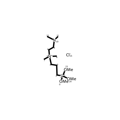 CO[Si](CCC[N+](C)(C)CCN(C)C)(OC)OC.[Cl-]